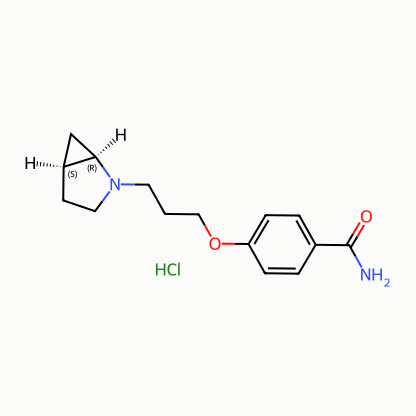 Cl.NC(=O)c1ccc(OCCCN2CC[C@H]3C[C@H]32)cc1